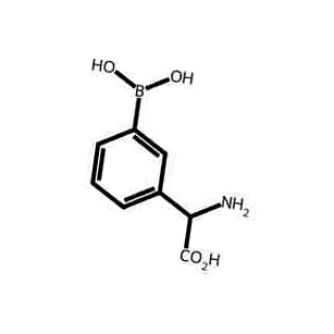 NC(C(=O)O)c1cccc(B(O)O)c1